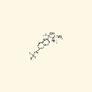 CC(C)C(O)(/C(N)=C/N)c1ccc2cc(OCC(F)(F)F)ccc2n1